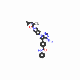 N#C/C(=C/C1CC1)C(=O)N1CC2CC(n3cc(-c4ccc(C(=O)Nc5ccccc5)cc4)c4c(N)ncnc43)CC2C1